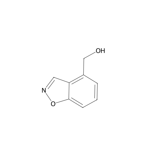 OCc1cccc2oncc12